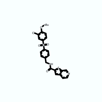 CCCCOc1ccc(S(=O)(=O)c2ccc(CNC(=O)c3cc4ccncc4s3)cc2)cc1Cl